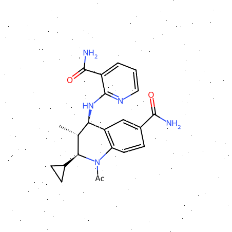 CC(=O)N1c2ccc(C(N)=O)cc2[C@H](Nc2ncccc2C(N)=O)[C@@H](C)[C@@H]1C1CC1